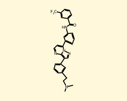 CN(C)CCc1cccc(-c2cnn3c(-c4cccc(NC(=O)c5cccc(C(F)(F)F)c5)c4)ccnc23)c1